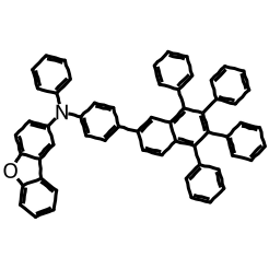 c1ccc(-c2c(-c3ccccc3)c(-c3ccccc3)c3cc(-c4ccc(N(c5ccccc5)c5ccc6oc7ccccc7c6c5)cc4)ccc3c2-c2ccccc2)cc1